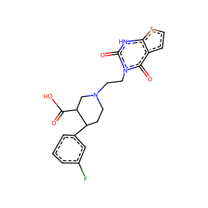 O=C(O)C1CN(CCn2c(=O)[nH]c3sccc3c2=O)CCC1c1cccc(F)c1